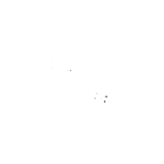 CNS(=O)(=O)c1cccc(OC[C@@H](O)CNC2COC3(CCN(S(=O)(=O)c4cccc(-c5cnn(C)c5)c4)CC3)C2)c1